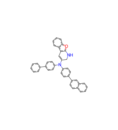 C1=C(N(c2ccc(-c3ccccc3)cc2)c2ccc(-c3ccc4ccccc4c3)cc2)CNc2oc3ccccc3c21